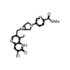 CCc1cc2ncc(CN3C4CN(c5ccc(C(=O)NC)nc5)CC43)c(F)c2[nH]c1=O